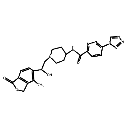 Cc1c(C(O)CN2CCC(NC(=O)c3ccc(-n4cnnn4)nn3)CC2)ccc2c1COC2=O